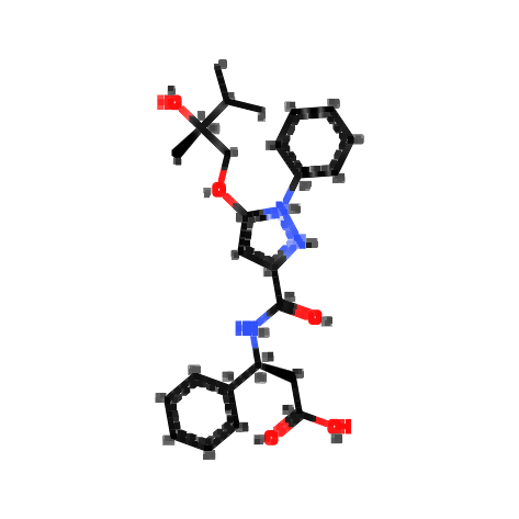 CC(C)[C@@](C)(O)COc1cc(C(=O)N[C@@H](CC(=O)O)c2ccccc2)nn1-c1ccccc1